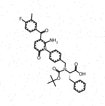 Cc1cc(C(=O)c2ccc(=O)n(-c3ccc(CN(C(=O)OC(C)(C)C)[C@@H](Cc4ccccc4)C(=O)O)cc3)c2N)ccc1F